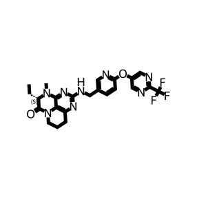 CC[C@H]1C(=O)N2CCCc3nc(NCc4ccc(Oc5cnc(C(F)(F)F)nc5)nc4)nc(c32)N1C